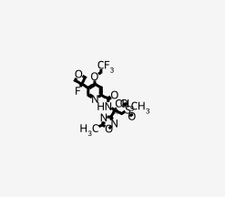 Cc1nc([C@@](C)(CS(C)(=O)=O)NC(=O)c2cc(OCC(F)(F)F)c(C3(F)COC3)cn2)no1